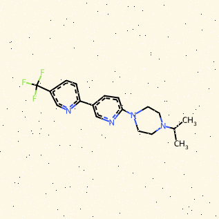 CC(C)N1CCN(c2ccc(-c3ccc(C(F)(F)F)cn3)cn2)CC1